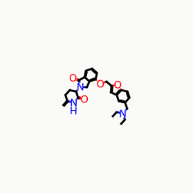 C=C1CCC(N2Cc3c(OCc4cc5cc(CN(CC)CC)ccc5o4)cccc3C2=O)C(=O)N1